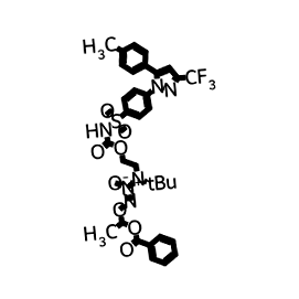 Cc1ccc(-c2cc(C(F)(F)F)nn2-c2ccc(S(=O)(=O)NC(=O)OCCN([N+]([O-])=NOC(C)OC(=O)c3ccccc3)C(C)(C)C)cc2)cc1